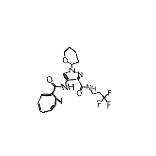 O=C(Nc1cn(C2CCCCO2)nc1C(=O)NCCC(F)(F)F)c1ccccn1